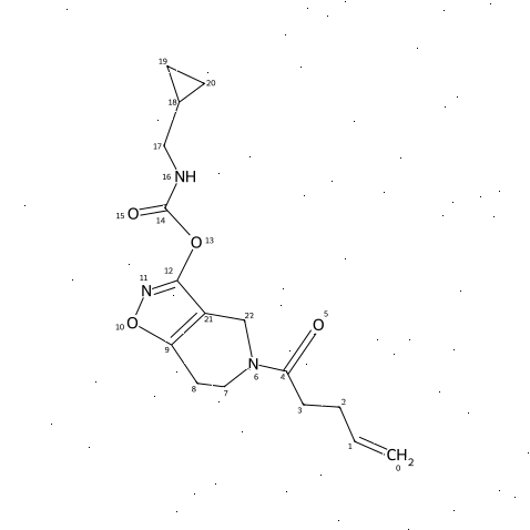 C=CCCC(=O)N1CCc2onc(OC(=O)NCC3CC3)c2C1